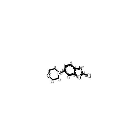 Clc1nc2ccc(N3CCOCC3)cc2o1